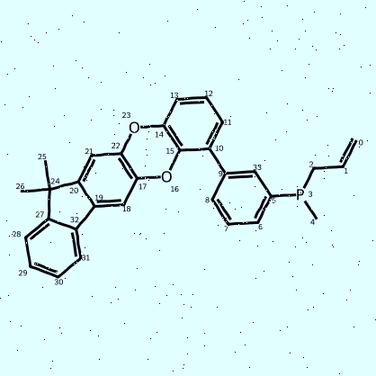 C=CCP(C)c1cccc(-c2cccc3c2Oc2cc4c(cc2O3)C(C)(C)c2ccccc2-4)c1